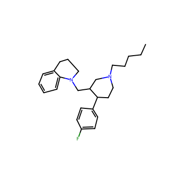 CCCCCN1CCC(c2ccc(F)cc2)C(CN2CCCc3ccccc32)C1